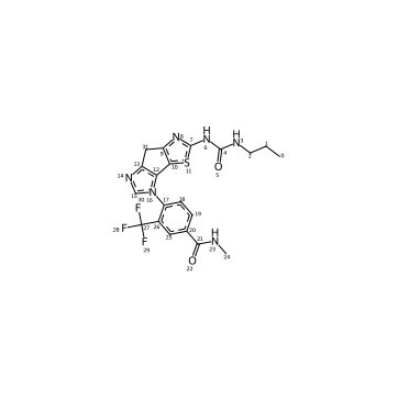 CCCNC(=O)Nc1nc2c(s1)-c1c(ncn1-c1ccc(C(=O)NC)cc1C(F)(F)F)C2